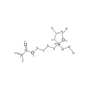 C=C(C)C(=O)OCCCC[Si](CCC)(CCC)OCC